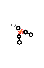 Cc1ccc(P(=O)(Oc2ccc(C3CCCCC3)cc2)Oc2ccc(C3CCCCC3)cc2)cc1